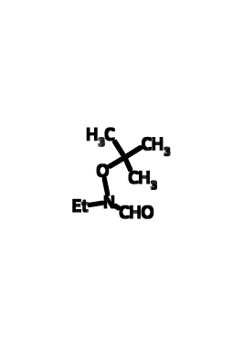 CCN(C=O)OC(C)(C)C